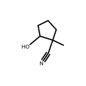 CC1(C#N)CCCC1O